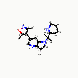 Cc1noc(C)c1-c1cnc2c(I)cn(C(C)(C)c3ccccn3)c2c1